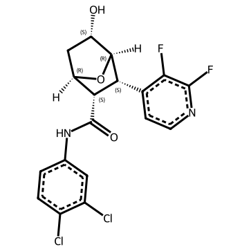 O=C(Nc1ccc(Cl)c(Cl)c1)[C@H]1[C@@H](c2ccnc(F)c2F)[C@H]2O[C@@H]1C[C@@H]2O